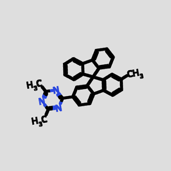 Cc1ccc2c(c1)C1(c3ccccc3-c3ccccc31)c1cc(-c3nc(C)nc(C)n3)ccc1-2